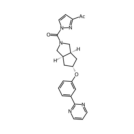 CC(=O)c1ccn(C(=O)N2C[C@H]3C[C@H](Oc4cccc(-c5ncccn5)c4)C[C@H]3C2)n1